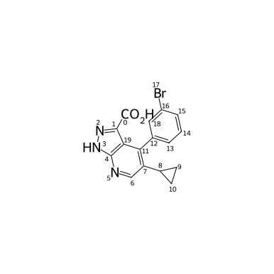 O=C(O)c1n[nH]c2ncc(C3CC3)c(-c3cccc(Br)c3)c12